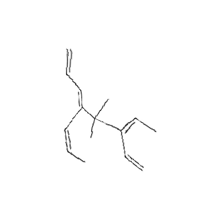 C=C/C=C(\C=C/C)C(C)(C)/C(C=C)=C/C